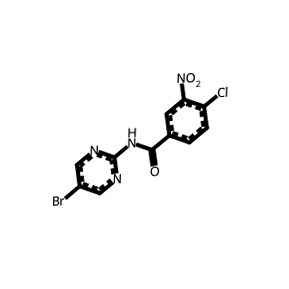 O=C(Nc1ncc(Br)cn1)c1ccc(Cl)c([N+](=O)[O-])c1